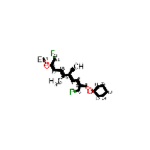 C#CC(=C\C=C(/CF)COC1CCCCC1)/C(C)=C/C=C(\CF)OCC